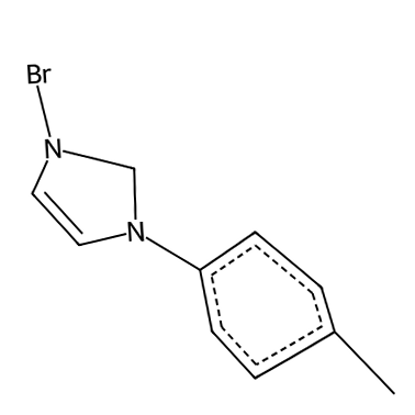 Cc1ccc(N2C=CN(Br)C2)cc1